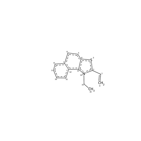 C=Cc1sc2ccc3ccccc3c2[n+]1CC